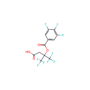 O=C(O)CC(OC(=O)c1cc(F)c(F)c(F)c1)(C(F)(F)F)C(F)(F)F